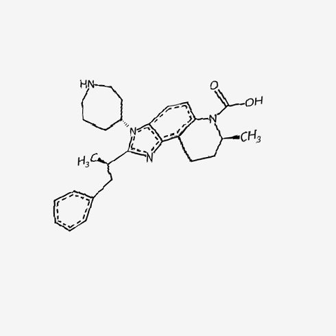 C[C@H](Cc1ccccc1)c1nc2c3c(ccc2n1[C@@H]1CCCNCC1)N(C(=O)O)[C@@H](C)CC3